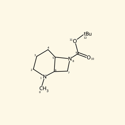 CN1CCCC2C1CN2C(=O)OC(C)(C)C